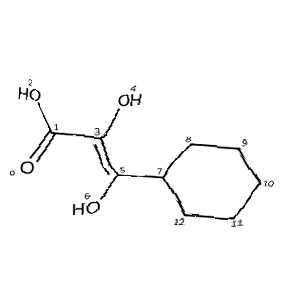 O=C(O)C(O)=C(O)C1CCCCC1